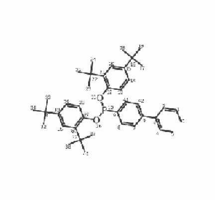 C/C=C\C(=C/C)c1ccc(P(Oc2ccc(C(C)(C)C)cc2C(C)(C)C)Oc2ccc(C(C)(C)C)cc2C(C)(C)C)cc1